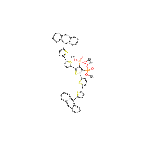 CCOP(=O)(OCC)c1c(-c2ccc(-c3ccc(-c4c5ccccc5cc5ccccc45)s3)s2)sc(-c2ccc(-c3ccc(-c4c5ccccc5cc5ccccc45)s3)s2)c1P(=O)(OCC)OCC